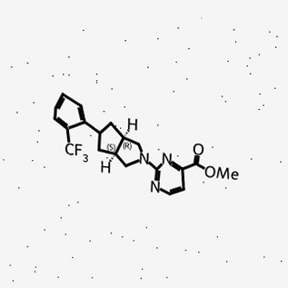 COC(=O)c1ccnc(N2C[C@H]3CC(c4ccccc4C(F)(F)F)C[C@H]3C2)n1